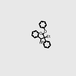 CCCC(c1ccccc1)C(CC)(C(=O)Oc1ccccc1)c1ccccc1